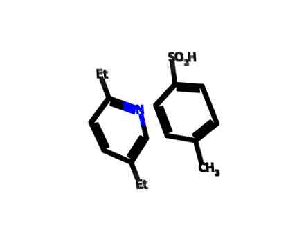 CCc1ccc(CC)nc1.Cc1ccc(S(=O)(=O)O)cc1